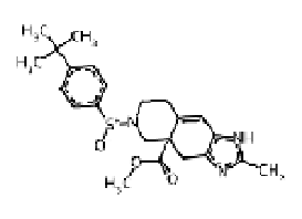 COC(=O)[C@]12Cc3nc(C)[nH]c3C=C1CCN([S+]([O-])c1ccc(C(C)(C)C)cc1)C2